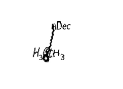 CCCCCCCCCCCCCCCCCCCCC[CH][Si](C)(C)c1ccccc1